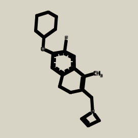 CC1=C(CN2C=CC2)CCc2cc(OC3CCCCC3)c(F)cc21